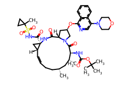 C[C@@H]1CC/C=C\[C@@H]2C[C@@]2(C(=O)NS(=O)(=O)C2(C)CC2)NC(=O)[C@@H]2C[C@@H](Oc3ncc(N4CCOCC4)c4ccccc34)CN2C(=O)[C@@H](NC(=O)OC(C)(C)C)[C@H](C)C1